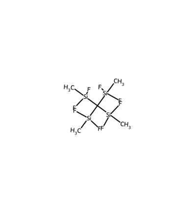 C[Si](F)(F)C([Si](C)(F)F)([Si](C)(F)F)[Si](C)(F)F